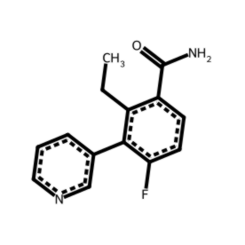 CCc1c(C(N)=O)ccc(F)c1-c1cccnc1